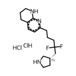 Cl.Cl.FC(F)(CCCc1ccc2c(n1)NCCC2)C[C@@H]1CCNC1